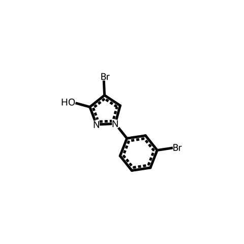 Oc1nn(-c2cccc(Br)c2)cc1Br